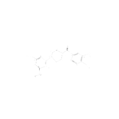 CCNc1nc(C)cc(N2CCN(C(=O)c3ccc(Cl)c(C(F)(F)F)c3)CC2)n1